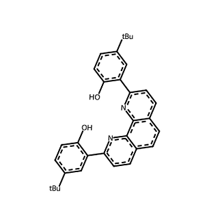 CC(C)(C)c1ccc(O)c(-c2ccc3ccc4ccc(-c5cc(C(C)(C)C)ccc5O)nc4c3n2)c1